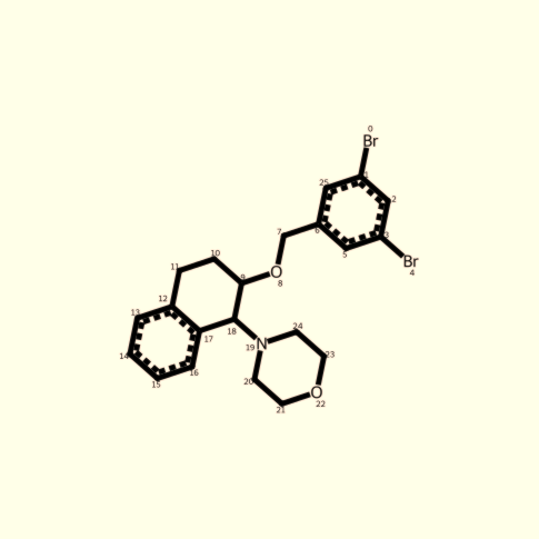 Brc1cc(Br)cc(COC2CCc3ccccc3C2N2CCOCC2)c1